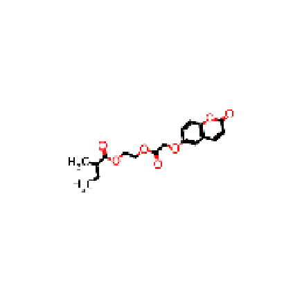 CCC(C)C(=O)OCCOC(=O)COc1ccc2oc(=O)ccc2c1